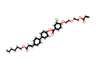 C=CC(=O)OCCOCCOc1ccc(C(=O)Oc2ccc(-c3ccc(/C=C/C(=O)OCCCCCC)cc3)cc2)cc1Cl